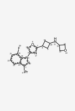 CC(C)c1nn(-c2noc(C3CC(NC4COC4)C3)n2)c2c(F)cccc12